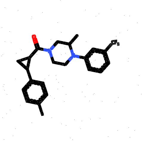 Cc1ccc(C2CC2C(=O)N2CCN(c3cccc(C(F)(F)F)c3)C(C)C2)cc1